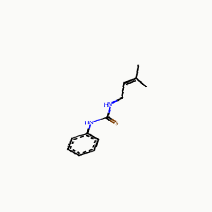 CC(C)=CCNC(=S)Nc1ccccc1